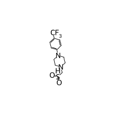 O=[SH](=O)CN1CCN(c2ccc(C(F)(F)F)cc2)CC1